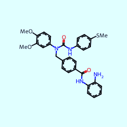 COc1ccc(N(Cc2ccc(C(=O)Nc3ccccc3N)cc2)C(=O)Nc2ccc(SC)cc2)cc1OC